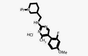 COc1ccc(-c2cnc(NCC3CCCN(C(C)C)C3)nc2C)c(F)c1.Cl